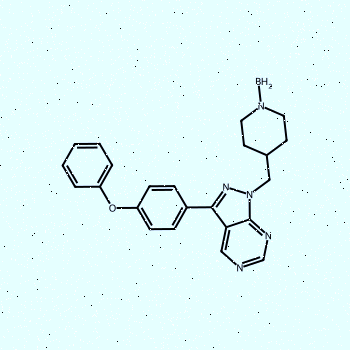 BN1CCC(Cn2nc(-c3ccc(Oc4ccccc4)cc3)c3cncnc32)CC1